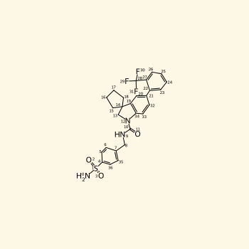 NS(=O)(=O)c1ccc(CNC(=O)N2CC3(CCCC3)c3cc(-c4ccccc4C(F)(F)F)ccc32)cc1